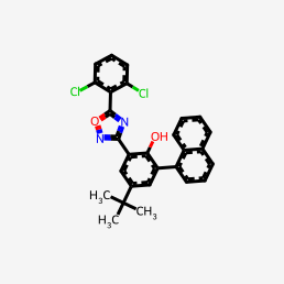 CC(C)(C)c1cc(-c2noc(-c3c(Cl)cccc3Cl)n2)c(O)c(-c2cccc3ccccc23)c1